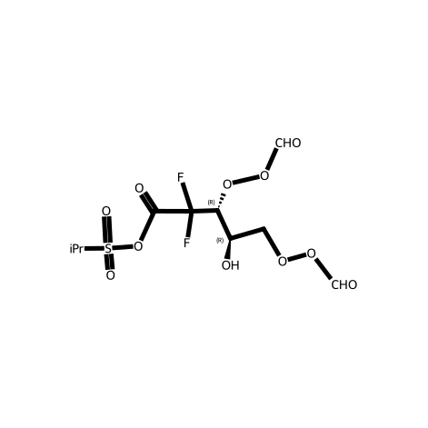 CC(C)S(=O)(=O)OC(=O)C(F)(F)[C@H](OOC=O)[C@H](O)COOC=O